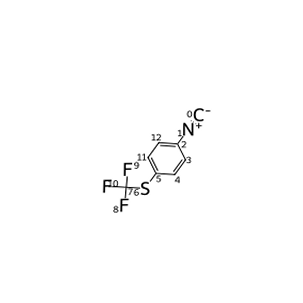 [C-]#[N+]c1ccc(SC(F)(F)F)cc1